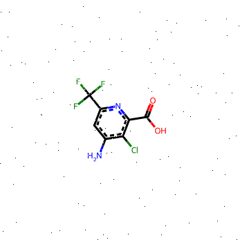 Nc1cc(C(F)(F)F)nc(C(=O)O)c1Cl